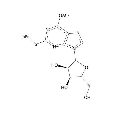 CCCSc1nc(OC)c2ncn(C3O[C@H](CO)[C@@H](O)[C@H]3O)c2n1